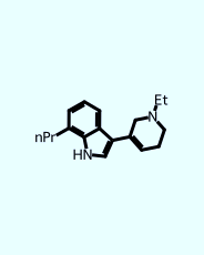 CCCc1cccc2c(C3=CCCN(CC)C3)c[nH]c12